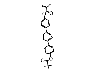 C=C(C)C(=O)Oc1ccc(-c2ccc(-c3ccc(OC(=O)C(C)(C)C)cc3)cc2)cc1